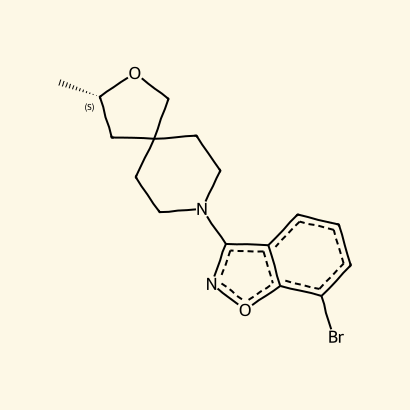 C[C@H]1CC2(CCN(c3noc4c(Br)cccc34)CC2)CO1